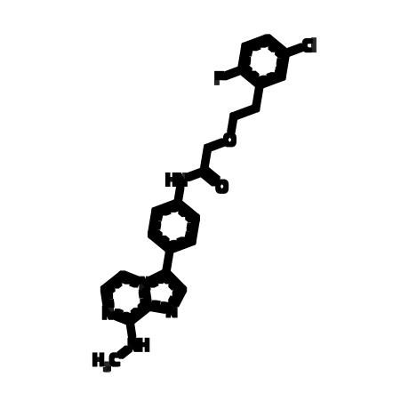 CNc1nccn2c(-c3ccc(NC(=O)COCCc4cc(Cl)ccc4F)cc3)cnc12